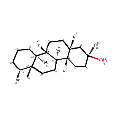 CCC[C@@]1(O)CC[C@H]2[C@H](CC[C@@H]3[C@@H]2CC[C@]2(C)[C@@H](C(C)=O)CCC[C@@H]32)C1